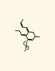 C\C=C/C=C1/CC(C)C=C(OOC)/C1=C/CC